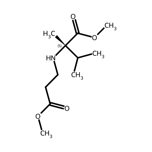 COC(=O)CCN[C@](C)(C(=O)OC)C(C)C